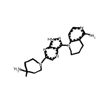 CC1(N)CCN(c2cnc3c(N4CCCc5c4ccnc5N)n[nH]c3n2)CC1